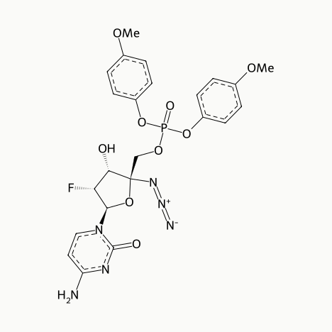 COc1ccc(OP(=O)(OC[C@@]2(N=[N+]=[N-])O[C@@H](n3ccc(N)nc3=O)[C@H](F)[C@@H]2O)Oc2ccc(OC)cc2)cc1